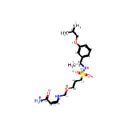 CC(C)COc1cccc([C@@H](C)NS(=O)(=O)CCCOCN/C=C\C(N)=O)c1